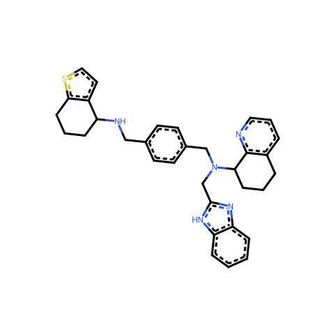 c1cnc2c(c1)CCCC2N(Cc1ccc(CNC2CCCc3sccc32)cc1)Cc1nc2ccccc2[nH]1